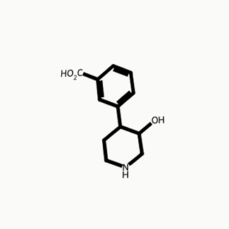 O=C(O)c1cccc(C2CCNCC2O)c1